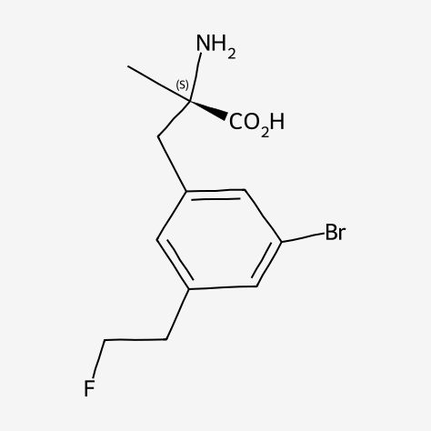 C[C@](N)(Cc1cc(Br)cc(CCF)c1)C(=O)O